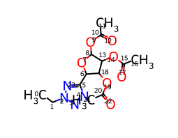 CCn1nnc(C2OC(OC(C)=O)C(OC(C)=O)C2OC(C)=O)n1